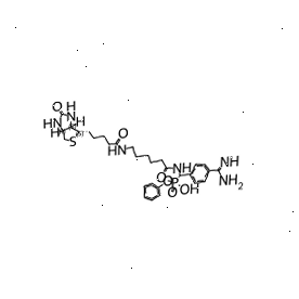 N=C(N)c1ccc(C(NC(=O)CCCCCNC(=O)CCCC[C@@H]2SC[C@@H]3NC(=O)N[C@@H]32)P(=O)(O)Oc2ccccc2)cc1